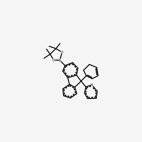 CC1(C)OB(c2ccc3c(c2)-c2ccccc2C3(C2=CC=CCC2)c2ccccn2)OC1(C)C